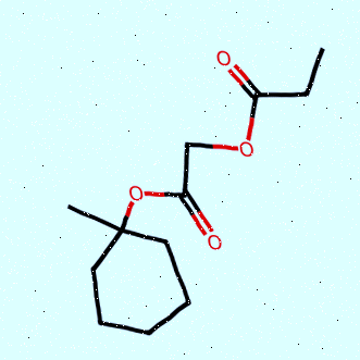 CCC(=O)OCC(=O)OC1(C)CCCCC1